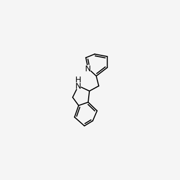 c1ccc(CC2NCc3ccccc32)nc1